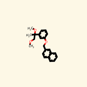 COCC(C)(OC)c1cccc(OCc2ccc3ccccc3c2)c1